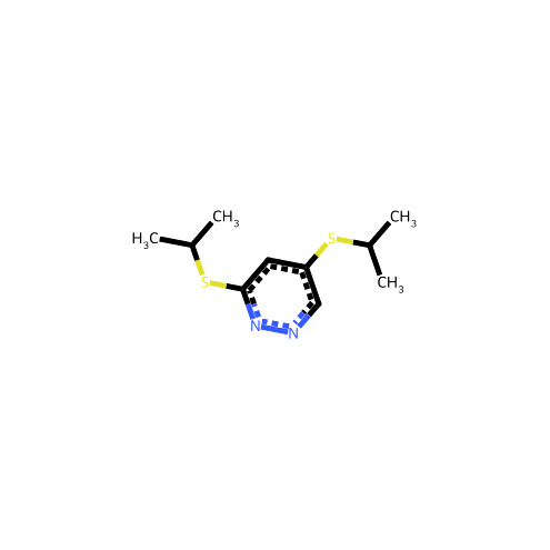 CC(C)Sc1cnnc(SC(C)C)c1